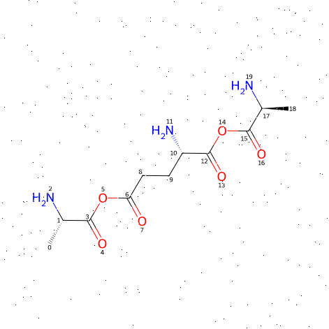 C[C@H](N)C(=O)OC(=O)CC[C@H](N)C(=O)OC(=O)[C@H](C)N